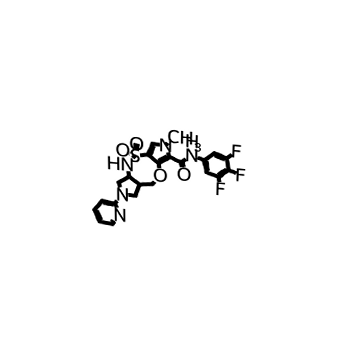 Cn1cc2c(c1C(=O)Nc1cc(F)c(F)c(F)c1)OCC1CN(c3ccccn3)CC1NS2(=O)=O